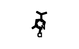 Cc1cc(C(C)C)cnc1Cl